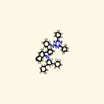 c1ccc(-c2cc(-c3ccccc3)cc(-n3c4ccc5c(c6ccccc6n5-c5nc(-c6ccccc6)nc(-c6ccccc6)n5)c4c4ccc5ccccc5c43)c2)cc1